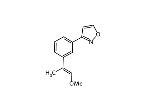 COC=C(C)c1cccc(-c2ccon2)c1